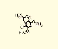 COc1cc(OC)c(Cl)c(CC(N)=O)c1Cl